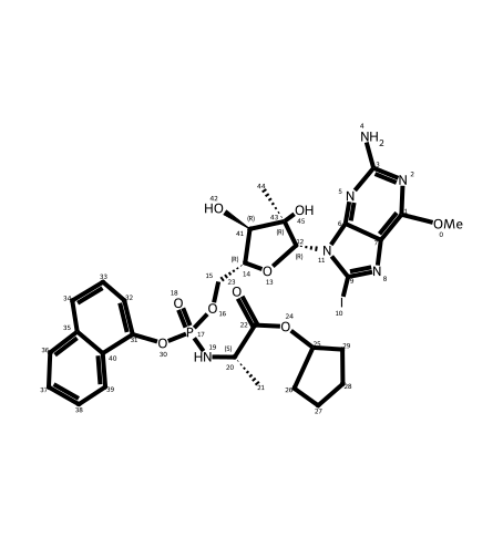 COc1nc(N)nc2c1nc(I)n2[C@@H]1O[C@H](COP(=O)(N[C@@H](C)C(=O)OC2CCCC2)Oc2cccc3ccccc23)[C@@H](O)[C@@]1(C)O